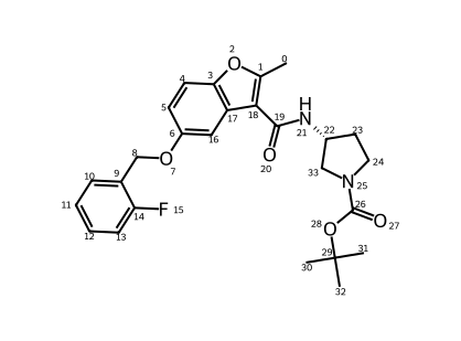 Cc1oc2ccc(OCc3ccccc3F)cc2c1C(=O)N[C@@H]1CCN(C(=O)OC(C)(C)C)C1